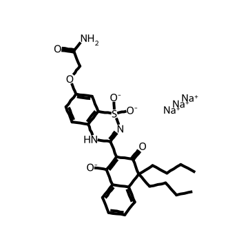 CCCCC1(CCCC)C(=O)C(C2=NS([O-])([O-])c3cc(OCC(N)=O)ccc3N2)=C([O-])c2ccccc21.[Na+].[Na+].[Na+]